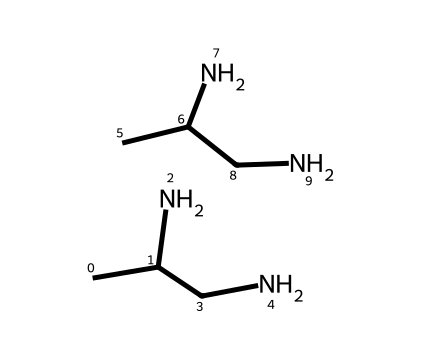 CC(N)CN.CC(N)CN